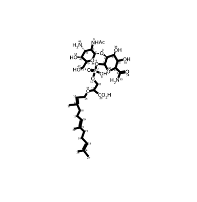 CC(=O)NC1[C@H](O[C@@H]2C(OP(=O)(O)OCC(OC/C=C(/C)CC/C=C(\C)CCC=C(C)C)C(=O)O)OC(C(N)=O)C(O)[C@@H]2O)OC(CO)[C@@H](O)[C@@H]1N